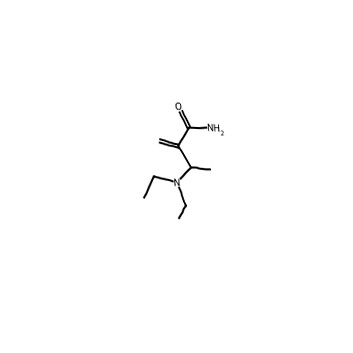 C=C(C(N)=O)C(C)N(CC)CC